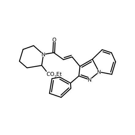 CCOC(=O)C1CCCCN1C(=O)/C=C/c1c(-c2ccccc2)nn2ccccc12